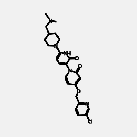 CN(C)CC1CCN(c2ccc(-n3ccc(OCc4ccc(Cl)cn4)cc3=O)c(=O)[nH]2)CC1